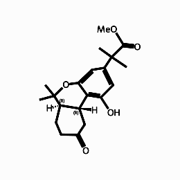 COC(=O)C(C)(C)c1cc(O)c2c(c1)OC(C)(C)[C@@H]1CCC(=O)C[C@@H]21